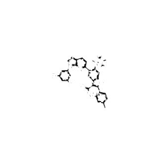 CNC(=O)c1c(-c2ccc(C)cc2)oc2cc(N(C)S(C)(=O)=O)c(-c3ccc4ccn(-c5cc(F)cc(F)c5)c4n3)cc12